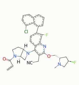 C=CC(=O)N1CC[C@@H]2[C@H]1CN2c1c(CC#N)c(OC[C@@H]2C[C@@H](F)CN2C)nc2c(F)c(-c3cccc4cccc(Cl)c34)ccc12